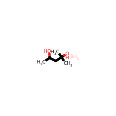 B.CC(O)CC(C)(C)O